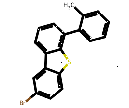 Cc1ccccc1-c1cccc2c1sc1ccc(Br)cc12